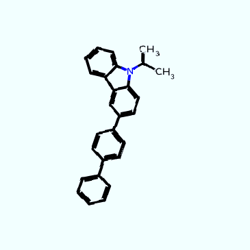 CC(C)n1c2ccccc2c2cc(-c3ccc(-c4ccccc4)cc3)ccc21